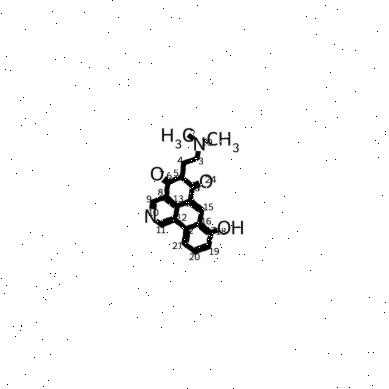 CN(C)CCC1C(=O)c2cncc3c2c(cc2c(O)cccc23)C1=O